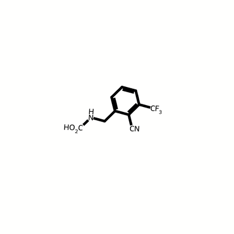 N#Cc1c(CNC(=O)O)cccc1C(F)(F)F